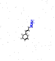 [N-]=[N+]=NCC=CC1CC=CCC1